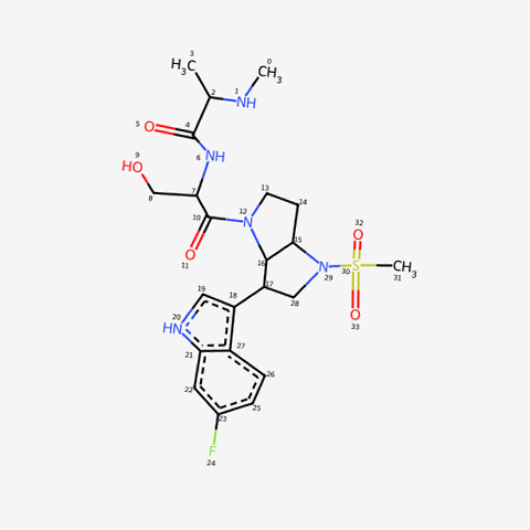 CNC(C)C(=O)NC(CO)C(=O)N1CCC2C1C(c1c[nH]c3cc(F)ccc13)CN2S(C)(=O)=O